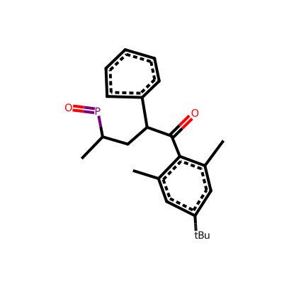 Cc1cc(C(C)(C)C)cc(C)c1C(=O)C(CC(C)P=O)c1ccccc1